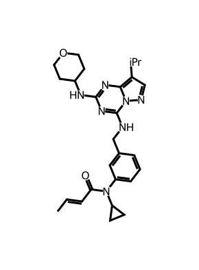 CC=CC(=O)N(c1cccc(CNc2nc(NC3CCOCC3)nc3c(C(C)C)cnn23)c1)C1CC1